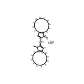 CC1[C]([Zr+2][C]2=CC3=C(CCCCCCCCCC3)C2C)=CC2=C1CCCCCCCCCC2.[Cl-].[Cl-]